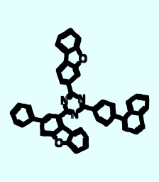 c1ccc(-c2cc(-c3nc(-c4ccc(-c5cccc6ccccc56)cc4)nc(-c4ccc5c(c4)oc4ccccc45)n3)c3c(c2)oc2ccccc23)cc1